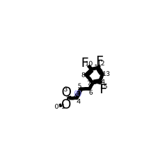 COC(=O)/C=C/Cc1cc(F)c(F)cc1F